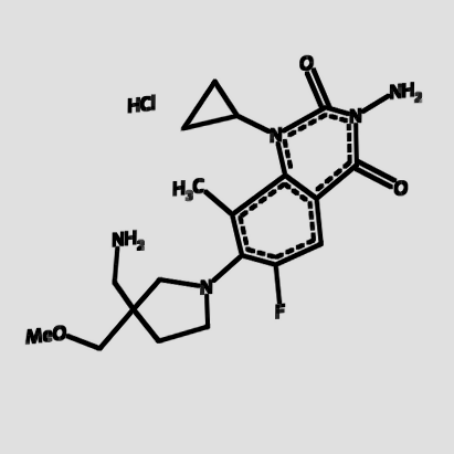 COCC1(CN)CCN(c2c(F)cc3c(=O)n(N)c(=O)n(C4CC4)c3c2C)C1.Cl